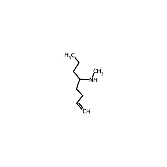 [CH]=CCCC(CCC)NC